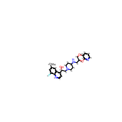 COc1cc(F)c2nccc([C@@H](O)CN3CCC(NCC4COc5cccnc5O4)CC3)c2c1